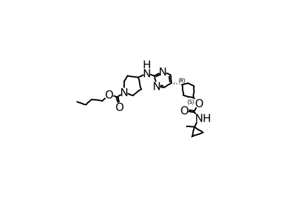 CCCCOC(=O)N1CCC(Nc2ncc([C@@H]3CC[C@H](OC(=O)NC4(C)CC4)C3)cn2)CC1